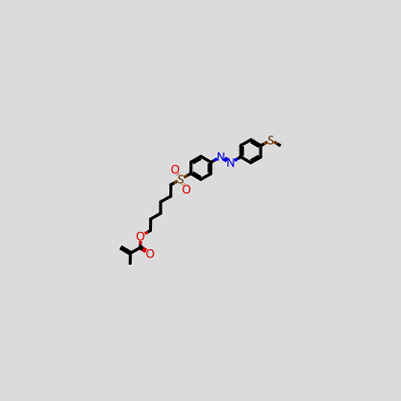 C=C(C)C(=O)OCCCCCCS(=O)(=O)c1ccc(N=Nc2ccc(SC)cc2)cc1